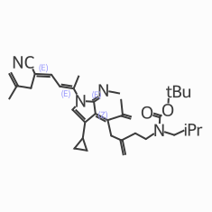 C=C(C)C/C(C#N)=C\C=C(/C)N1C=C(C2CC2)C(=C(\CC(=C)CCN(CC(C)C)C(=O)OC(C)(C)C)C(=C)C)/C1=N\C